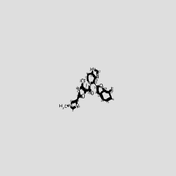 Cn1cnc(-c2nc(C(F)(F)F)c(C(=O)N3CCc4[nH]cnc4[C@H]3c3cc4cccc(F)c4o3)o2)c1